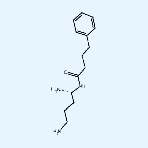 NCCC[C@H](N)NC(=O)CCCc1ccccc1